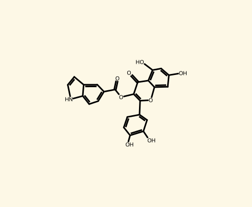 O=C(Oc1c(-c2ccc(O)c(O)c2)oc2cc(O)cc(O)c2c1=O)c1ccc2[nH]ccc2c1